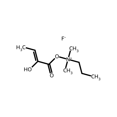 CC=C(O)C(=O)O[N+](C)(C)CCC.[F-]